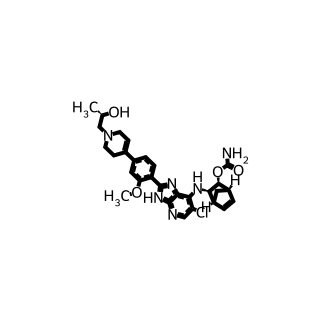 COc1cc(C2=CCN(C[C@H](C)O)CC2)ccc1-c1nc2c(N[C@H]3[C@@H](OC(N)=O)[C@@H]4C=C[C@H]3C4)c(Cl)cnc2[nH]1